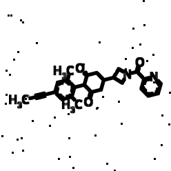 CC#Cc1cc(C)c(C2C(=O)CC(C3CN(C(=O)c4ccccn4)C3)CC2=O)c(C)c1